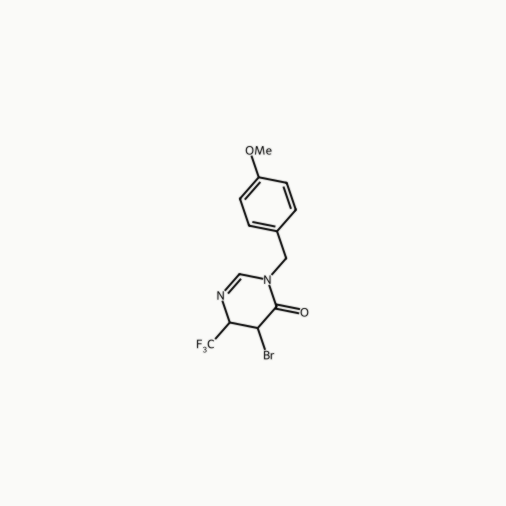 COc1ccc(CN2C=NC(C(F)(F)F)C(Br)C2=O)cc1